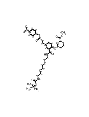 COC(=O)[C@@H]1CCC[C@H](Oc2ccc(COC(=O)Oc3ccc([N+](=O)[O-])cc3)cc2C(=O)NCCOCCOCCNC(=O)OC(C)(C)C)O1